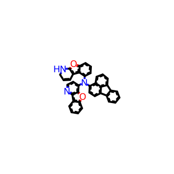 C1=Cc2c(oc3cccc(N(c4ccc5c6c(cccc46)-c4ccccc4-5)c4ccnc5c4oc4ccccc45)c23)NC1